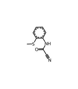 CSc1ccccc1NC(=O)C#N